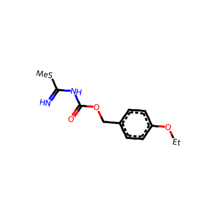 CCOc1ccc(COC(=O)NC(=N)SC)cc1